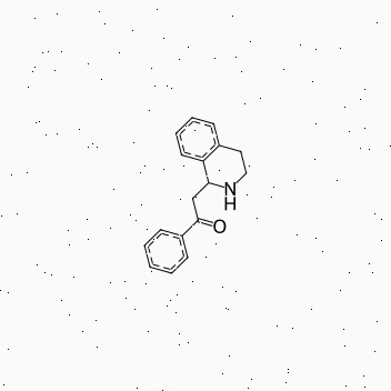 O=C(CC1NCCc2ccccc21)c1ccccc1